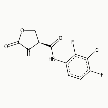 O=C1N[C@H](C(=O)Nc2ccc(F)c(Cl)c2F)CO1